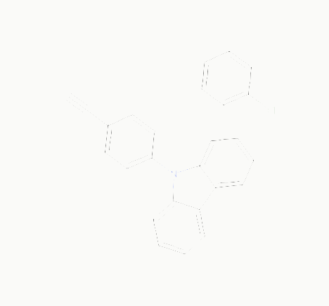 C#Cc1ccc(-n2c3ccccc3c3ccccc32)cc1.Clc1ccccc1